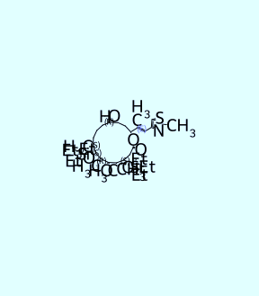 CC[Si](CC)(CC)O[C@H]1[C@@H](C)CCC[C@H]2OC2CC(/C(C)=C/c2csc(C)n2)OC(=O)C[C@H](O[Si](CC)(CC)CC)C(C)(C)C(=O)[C@@H]1C